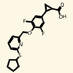 O=C(O)C1CC1c1cc(F)c(OCc2cccc(SC3CCCC3)n2)c(F)c1